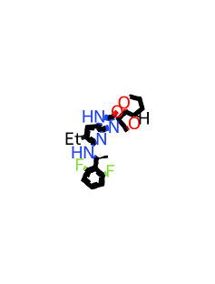 CCc1cc2[nH]c(O[C@@]34CCO[C@@H]3CCCO4)nc2nc1N[C@@H](C)c1c(F)cccc1F